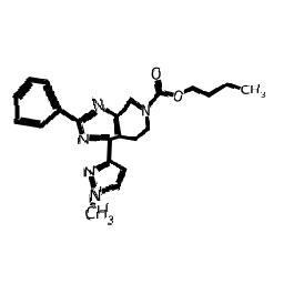 CCCCOC(=O)N1CCc2c(nc(-c3ccccc3)nc2-c2ccn(C)n2)C1